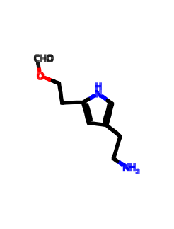 NCCc1c[nH]c(CCOC=O)c1